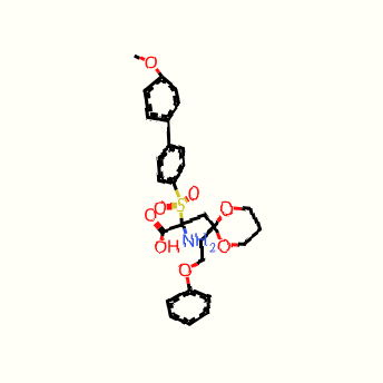 COc1ccc(-c2ccc(S(=O)(=O)C(N)(CC3(CCOc4ccccc4)OCCCO3)C(=O)O)cc2)cc1